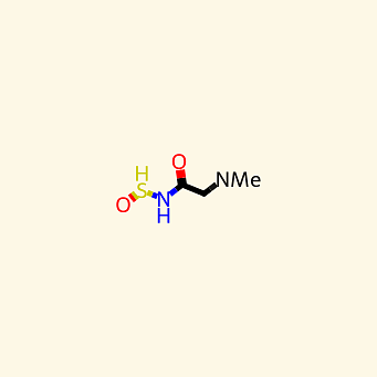 CNCC(=O)N[SH]=O